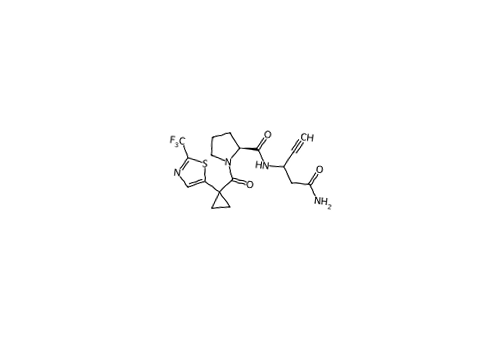 C#CC(CC(N)=O)NC(=O)[C@@H]1CCCN1C(=O)C1(c2cnc(C(F)(F)F)s2)CC1